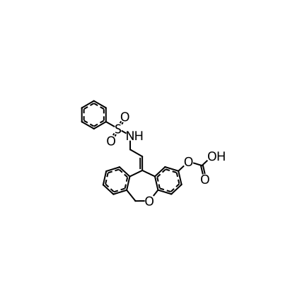 O=C(O)Oc1ccc2c(c1)/C(=C/CNS(=O)(=O)c1ccccc1)c1ccccc1CO2